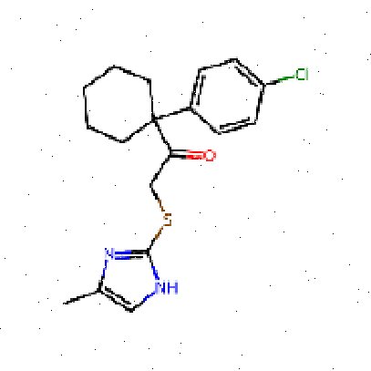 Cc1c[nH]c(SCC(=O)C2(c3ccc(Cl)cc3)CCCCC2)n1